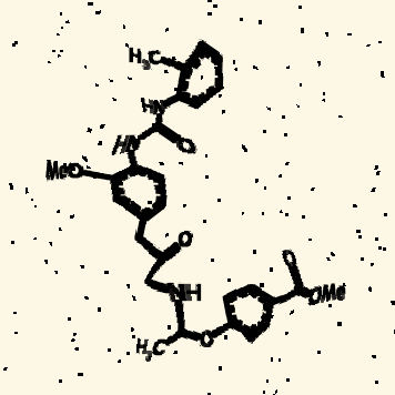 COC(=O)c1ccc(OC(C)NCC(=O)Cc2ccc(NC(=O)Nc3ccccc3C)c(OC)c2)cc1